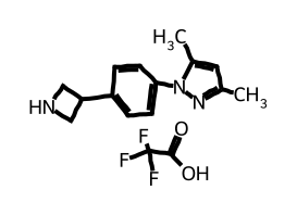 Cc1cc(C)n(-c2ccc(C3CNC3)cc2)n1.O=C(O)C(F)(F)F